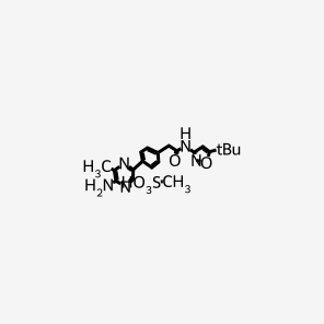 CS(=O)(=O)O.Cc1nc(-c2ccc(CC(=O)Nc3cc(C(C)(C)C)on3)cc2)cnc1N